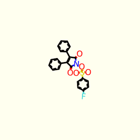 O=C1C(c2ccccc2)=C(c2ccccc2)C(=O)N1OS(=O)(=O)c1ccc(F)cc1